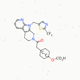 O=C(O)OC12CCC(CC(=O)N3CCc4c(n(Cc5cnc(C(F)(F)F)s5)c5ncccc45)C3)(CC1)CC2